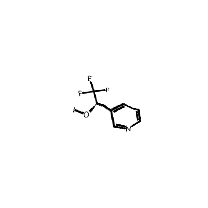 FC(F)(F)[C@H](OI)c1cccnc1